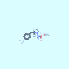 Cc1ccc(CC(C)(C)NNC(=O)OC(C)(C)C)cc1